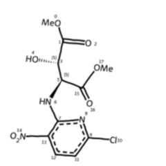 COC(=O)[C@@H](O)[C@H](Nc1nc(Cl)ccc1[N+](=O)[O-])C(=O)OC